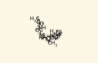 CCOC(=O)CNC(=O)CCc1ncc(-c2cc(C)cc(Nc3nccc(C(F)(F)F)n3)c2)s1